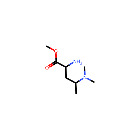 COC(=O)C(N)CC(C)N(C)C